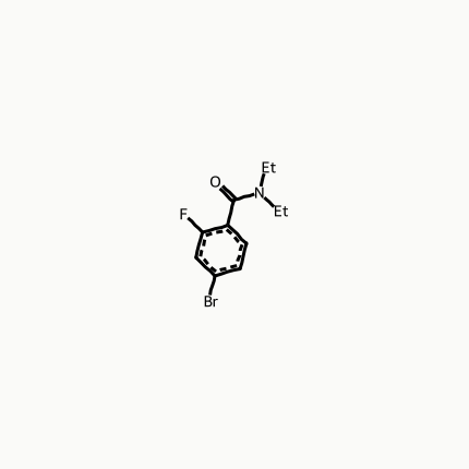 CCN(CC)C(=O)c1ccc(Br)cc1F